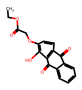 CCOC(=O)COc1ccc2c(c1O)C(=O)c1ccccc1C2=O